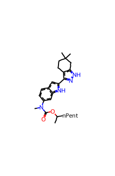 CCCCCC(C)OC(=O)N(C)c1ccc2cc(-c3n[nH]c4c3CCC(C)(C)C4)[nH]c2c1